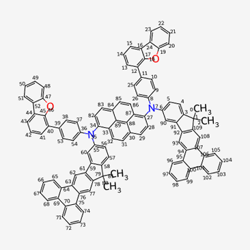 CC1(C)c2ccc(N(c3ccc(-c4cccc5c4oc4ccccc45)cc3)c3ccc4ccc5c(N(c6ccc(-c7cccc8c7oc7ccccc78)cc6)c6ccc7c(c6)-c6cc8c9ccccc9c9ccccc9c8cc6C7(C)C)ccc6ccc3c4c65)cc2-c2cc3c4ccccc4c4ccccc4c3cc21